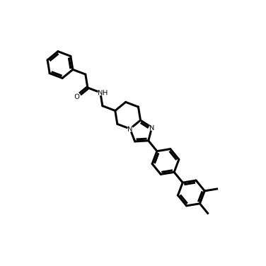 Cc1ccc(-c2ccc(-c3cn4c(n3)CCC(CNC(=O)Cc3ccccc3)C4)cc2)cc1C